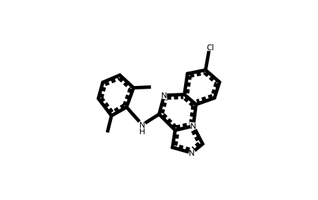 Cc1cccc(C)c1Nc1nc2cc(Cl)ccc2n2cncc12